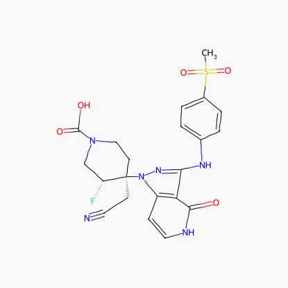 CS(=O)(=O)c1ccc(Nc2nn([C@]3(CC#N)CCN(C(=O)O)C[C@H]3F)c3cc[nH]c(=O)c23)cc1